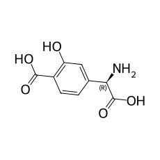 N[C@@H](C(=O)O)c1ccc(C(=O)O)c(O)c1